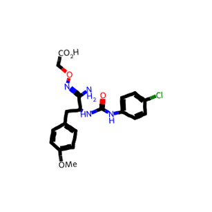 COc1ccc(CC(NC(=O)Nc2ccc(Cl)cc2)C(N)=NOCC(=O)O)cc1